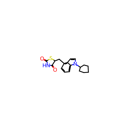 O=C1NC(=O)C(Cc2cccc3c2ccn3C2CCCCC2)S1